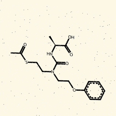 CC(=O)SCCN(CCOc1ccccc1)C(=O)N[C@@H](C)C(=O)O